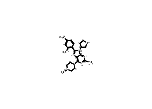 COc1ccc(-c2nc3c(N4CCN(C)CC4)nc(C)nc3n2C2CCOC2)c(C)c1